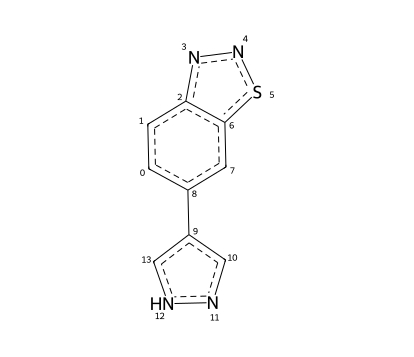 c1cc2nnsc2cc1-c1cn[nH]c1